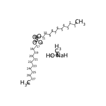 CCCCCCCCCCCCOS(=O)(=O)OCCCCCCCCCCCC.CCO.[NaH]